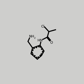 CC(Cl)C(=O)Nc1ccccc1CN